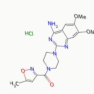 COc1cc2nc(N3CCN(C(=O)c4cc(C)on4)CC3)nc(N)c2cc1OC.Cl